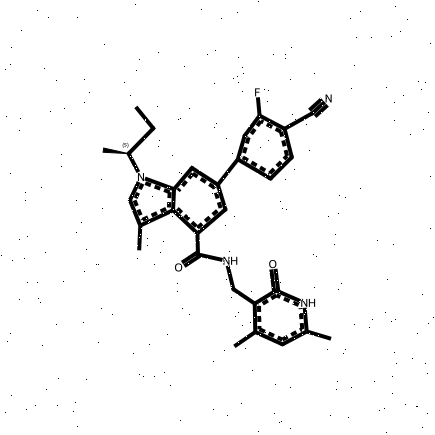 CC[C@H](C)n1cc(C)c2c(C(=O)NCc3c(C)cc(C)[nH]c3=O)cc(-c3ccc(C#N)c(F)c3)cc21